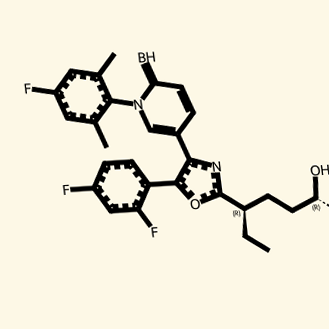 B=C1C=CC(c2nc([C@H](CC)CC[C@@H](C)O)oc2-c2ccc(F)cc2F)=CN1c1c(C)cc(F)cc1C